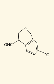 O=CC1CCCc2cc(Cl)ccc21